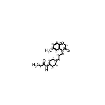 CCC(=O)NC1CCN(CCCN2C(=O)COc3ccc(C)cc32)CC1